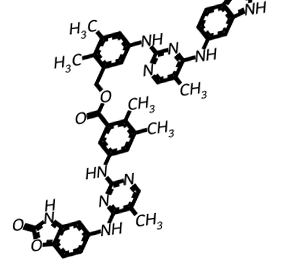 Cc1cnc(Nc2cc(C)c(C)c(COC(=O)c3cc(Nc4ncc(C)c(Nc5ccc6oc(=O)[nH]c6c5)n4)cc(C)c3C)c2)nc1Nc1ccc2oc(=O)[nH]c2c1